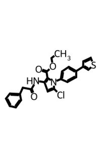 CCOC(=O)c1c(NC(=O)Cc2ccccc2)cc(Cl)n1-c1ccc(-c2ccsc2)cc1